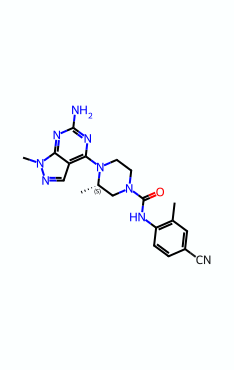 Cc1cc(C#N)ccc1NC(=O)N1CCN(c2nc(N)nc3c2cnn3C)[C@@H](C)C1